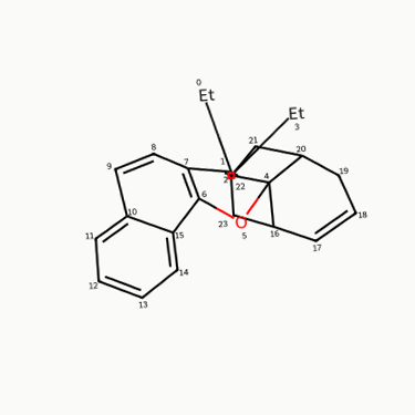 CCC1=C(CC)C2(Oc3c1ccc1ccccc31)C1C=CCC2CCC1